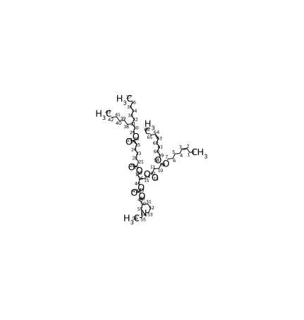 CC/C=C\CCCCOC(CCC(=O)OCC(COC(=O)CCCCCC(=O)OCCC(CCCCCC)CCCCCC)COC(=O)OCC1CCCN(CC)C1)OCCCC/C=C\CC